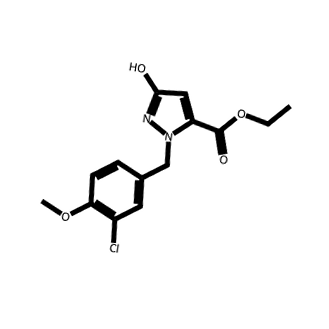 CCOC(=O)c1cc(O)nn1Cc1ccc(OC)c(Cl)c1